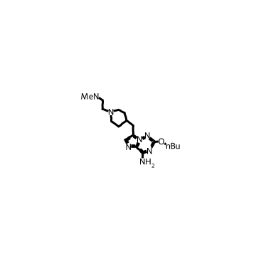 CCCCOc1nc(N)c2ncc(CC3CCN(CCNC)CC3)n2n1